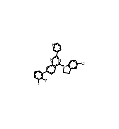 Fc1cccc(-c2ccc3c(N4CCc5cc(Cl)ccc54)nc(-c4cccnc4)nc3c2)c1F